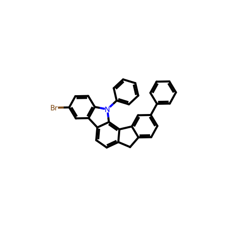 Brc1ccc2c(c1)c1ccc3c(c1n2-c1ccccc1)-c1cc(-c2ccccc2)ccc1C3